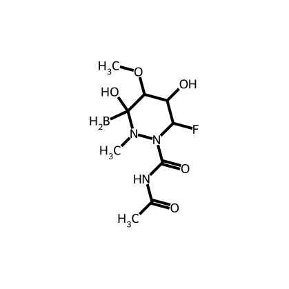 BC1(O)C(OC)C(O)C(F)N(C(=O)NC(C)=O)N1C